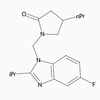 CCCC1CC(=O)N(Cn2c(C(C)C)nc3cc(F)ccc32)C1